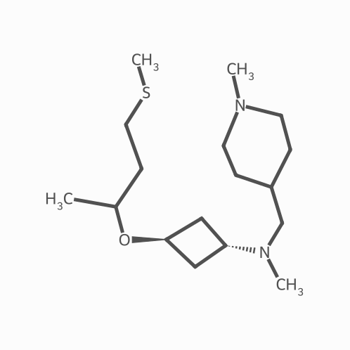 CSCCC(C)O[C@H]1C[C@H](N(C)CC2CCN(C)CC2)C1